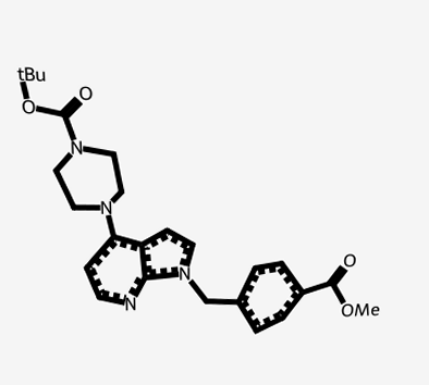 COC(=O)c1ccc(Cn2ccc3c(N4CCN(C(=O)OC(C)(C)C)CC4)ccnc32)cc1